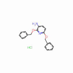 Cl.Nc1ccc(OCc2ccccc2)nc1OCc1ccccc1